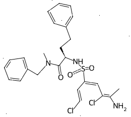 C\C(N)=C(Cl)/C=C(\C=C\Cl)S(=O)(=O)N[C@H](CCc1ccccc1)C(=O)N(C)Cc1ccccc1